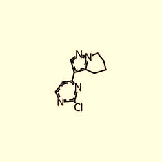 Clc1nccc(-c2cnn3c2CCCC3)n1